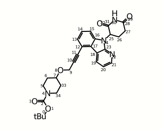 CC(C)(C)OC(=O)N1CCC(OCC#Cc2cccc3c2c2cccnc2n3C2CCC(=O)NC2=O)CC1